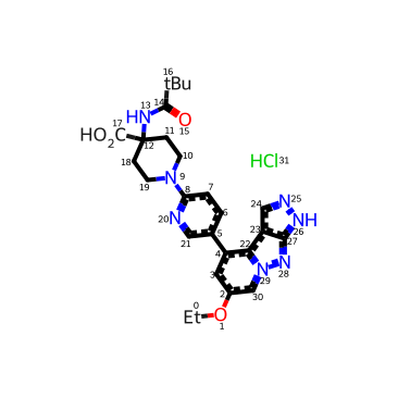 CCOc1cc(-c2ccc(N3CCC(NC(=O)C(C)(C)C)(C(=O)O)CC3)nc2)c2c3cn[nH]c3nn2c1.Cl